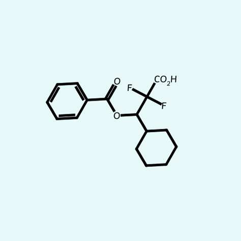 O=C(OC(C1CCCCC1)C(F)(F)C(=O)O)c1ccccc1